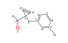 CC(=O)C1(Cc2cccc(C)c2)C#C1